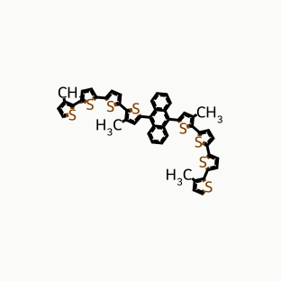 Cc1ccsc1-c1ccc(-c2ccc(-c3sc(-c4c5ccccc5c(-c5cc(C)c(-c6ccc(-c7ccc(-c8sccc8C)s7)s6)s5)c5ccccc45)cc3C)s2)s1